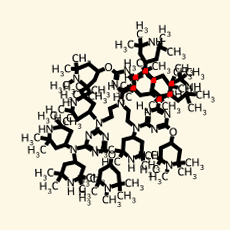 CN1C(C)(C)CC(Oc2nc(N(CCN(c3nc(OC4CC(C)(C)N(C)C(C)(C)C4)nc(N(C4CC(C)(C)NC(C)(C)C4)C4CC(C)(C)NC(C)(C)C4)n3)C3CC(C)(C)NC(C)(C)C3)CCN(c3nc(OC4CC(C)(C)N(C)C(C)(C)C4)nc(N(C4CC(C)(C)NC(C)(C)C4)C4CC(C)(C)NC(C)(C)C4)n3)C3CC(C)(C)NC(C)(C)C3)nc(N(C3CC(C)(C)NC(C)(C)C3)C3CC(C)(C)NC(C)(C)C3)n2)CC1(C)C